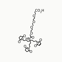 O=C(O)CCOCCOCCOCCOCC(=O)NC(CCCN1C(=O)C=CC1=O)(CCCN1C(=O)CCC1=O)CCCN1C(=O)CCC1=O